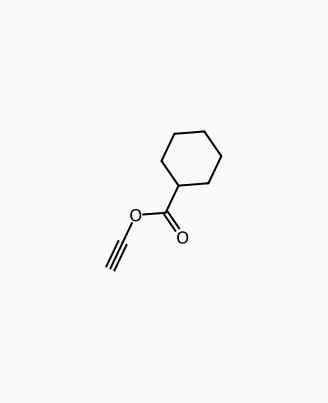 C#COC(=O)C1CCCCC1